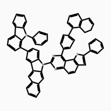 C1=Cc2cccc(-c3ccc(-c4nc(-n5c6ccc(-c7cccc8c9ccccc9n(-c9ccccc9)c78)cc6c6cc7ccccc7cc65)nc5ccc6cc(-c7ccccc7)sc6c45)cc3)c2CC1